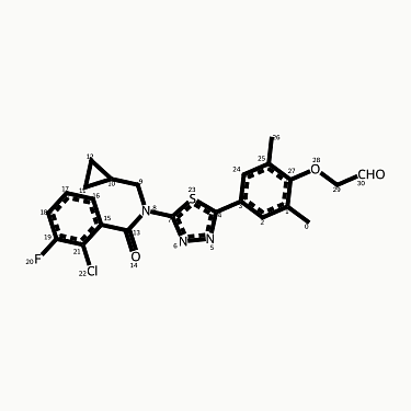 Cc1cc(-c2nnc(N(CC3CC3)C(=O)c3cccc(F)c3Cl)s2)cc(C)c1OCC=O